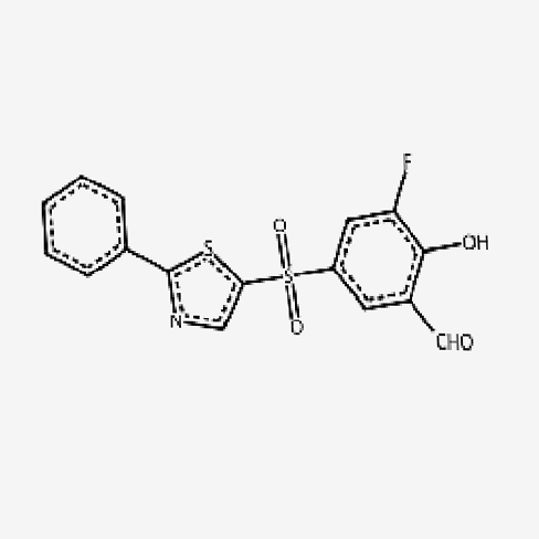 O=Cc1cc(S(=O)(=O)c2cnc(-c3ccccc3)s2)cc(F)c1O